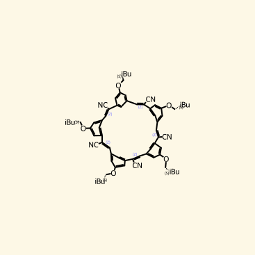 CC[C@H](C)COc1cc2cc(c1)/C(C#N)=C/c1cc(OC[C@@H](C)CC)cc(c1)/C(C#N)=C/c1cc(OC[C@@H](C)CC)cc(c1)/C(C#N)=C/c1cc(OC[C@@H](C)CC)cc(c1)/C(C#N)=C/c1cc(OC[C@@H](C)CC)cc(c1)/C(C#N)=C/2